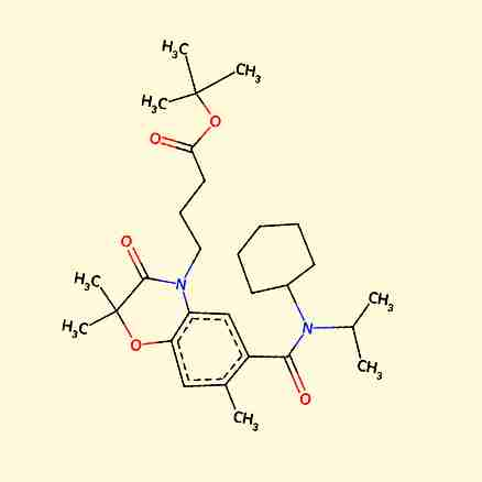 Cc1cc2c(cc1C(=O)N(C(C)C)C1CCCCC1)N(CCCC(=O)OC(C)(C)C)C(=O)C(C)(C)O2